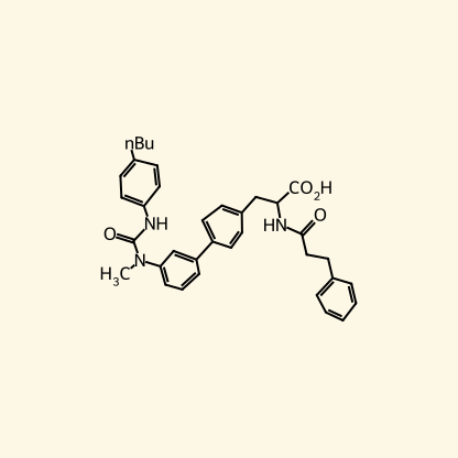 CCCCc1ccc(NC(=O)N(C)c2cccc(-c3ccc(CC(NC(=O)CCc4ccccc4)C(=O)O)cc3)c2)cc1